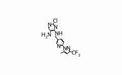 Cc1cc(C(F)(F)F)nn1-c1ccc(CNc2nc(Cl)ncc2N)cn1